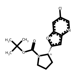 CC(C)(C)OC(=O)N1CCC[C@H]1c1cc2ncc(Cl)cc2o1